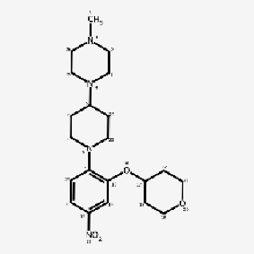 CN1CCN(C2CCN(c3ccc([N+](=O)[O-])cc3OC3CCOCC3)CC2)CC1